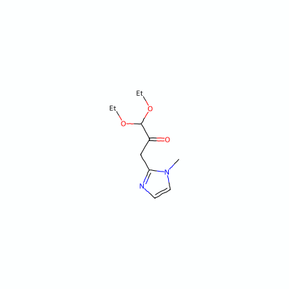 CCOC(OCC)C(=O)Cc1nccn1C